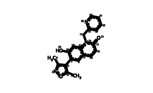 Cc1noc(C)c1-c1cc2ccc(=O)n(Cc3ccccn3)c2cc1O